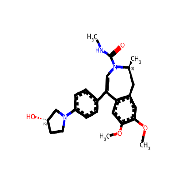 CNC(=O)N1C=C(c2ccc(N3CC[C@H](O)C3)cc2)c2cc(OC)c(OC)cc2C[C@@H]1C